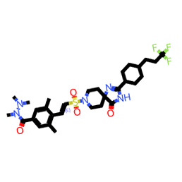 Cc1cc(C(=O)N(C)N(C)C)cc(C)c1/C=C/S(=O)(=O)N1CCC2(CC1)N=C(C1CCC(CCC(F)(F)F)CC1)NC2=O